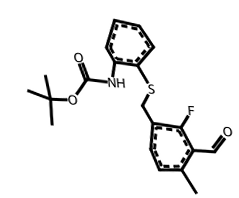 Cc1ccc(CSc2ccccc2NC(=O)OC(C)(C)C)c(F)c1C=O